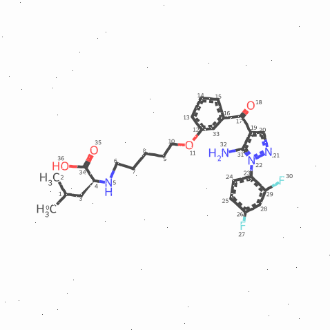 CC(C)C[C@H](NCCCCCOc1cccc(C(=O)c2cnn(-c3ccc(F)cc3F)c2N)c1)C(=O)O